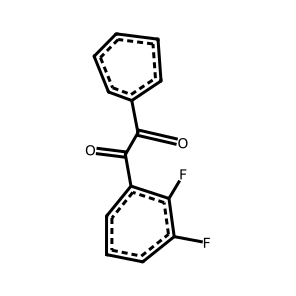 O=C(C(=O)c1cccc(F)c1F)c1ccccc1